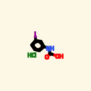 Cl.O=C(O)Nc1cccc(I)c1